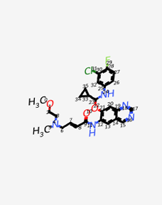 COCCN(C)CC=CC(=O)Nc1cc2cncnc2cc1OC(Nc1ccc(F)c(Cl)c1)C1CC1